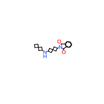 O=C1c2ccccc2C(=O)N1C1CC2(CC(NC3CC4(CCC4)C3)C2)C1